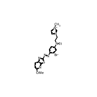 CCN(CCn1cc[n+](C)c1)c1ccc(N=Nc2nc3ccc(OC)nc3s2)cc1.[Br-]